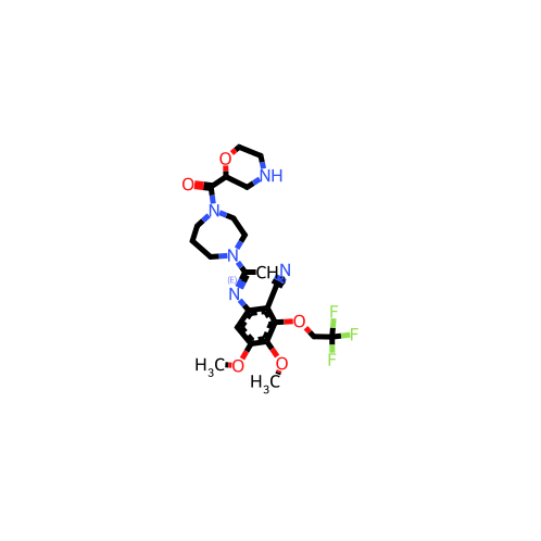 COc1cc(/N=C(\C)N2CCCN(C(=O)C3CNCCO3)CC2)c(C#N)c(OCC(F)(F)F)c1OC